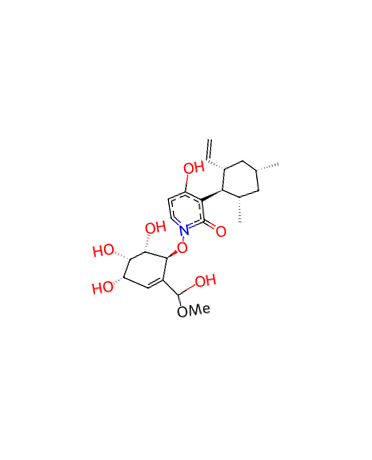 C=C[C@@H]1C[C@H](C)C[C@H](C)[C@H]1c1c(O)ccn(O[C@H]2C(C(O)OC)=C[C@H](O)[C@H](O)[C@@H]2O)c1=O